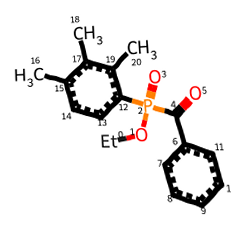 CCOP(=O)(C(=O)c1ccccc1)c1ccc(C)c(C)c1C